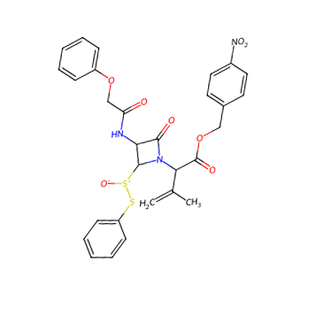 C=C(C)C(C(=O)OCc1ccc([N+](=O)[O-])cc1)N1C(=O)C(NC(=O)COc2ccccc2)C1[S+]([O-])Sc1ccccc1